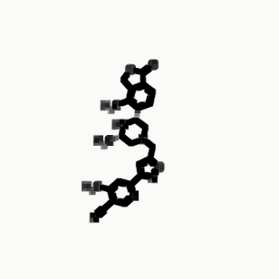 Cc1cc(-c2cc(CN3C[C@@H](c4ccc5c(c4C)COC5=O)N[C@@H](C)C3)on2)ncc1C#N